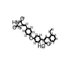 CCc1ccccc1C=C(C(=O)O)c1ccc(Oc2ccc(/C=C3\SC(=O)NC3=O)cc2)cc1